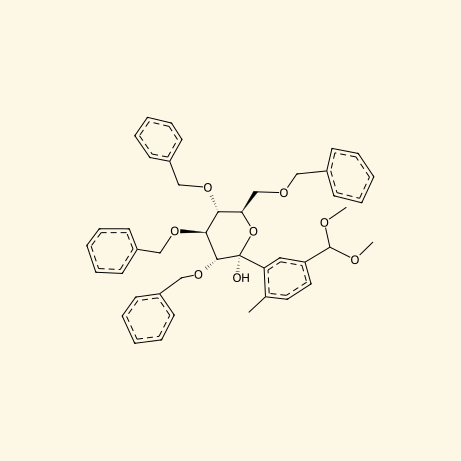 COC(OC)c1ccc(C)c([C@]2(O)O[C@H](COCc3ccccc3)[C@@H](OCc3ccccc3)[C@H](OCc3ccccc3)[C@H]2OCc2ccccc2)c1